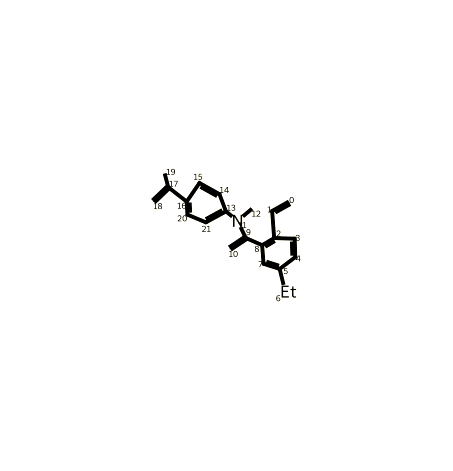 C=Cc1ccc(CC)cc1C(=C)N(C)c1ccc(C(=C)C)cc1